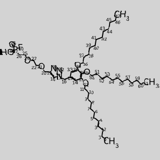 CCCCCCCCCCCCOc1cc(Cn2cc(COCCOCCP(=O)(O)F)nn2)cc(OCCCCCCCCCCCC)c1OCCCCCCCCCCCC